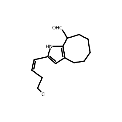 O=CC1CCCCCc2cc(/C=C\CCCl)[nH]c21